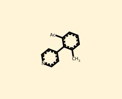 CC(=O)c1cccc(C)c1-c1ccncc1